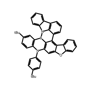 CC(C)(C)c1ccc(N2c3ccc(C(C)(C)C)cc3B3c4c2cc2oc5ccccc5c2c4-c2cccc4c5ccccc5n3c24)cc1